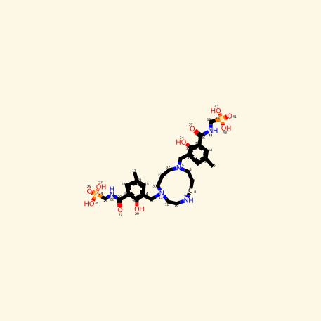 Cc1cc(CN2CCCNCCN(Cc3cc(C)cc(C(=O)NCP(=O)(O)O)c3O)CCC2)c(O)c(C(=O)NCP(=O)(O)O)c1